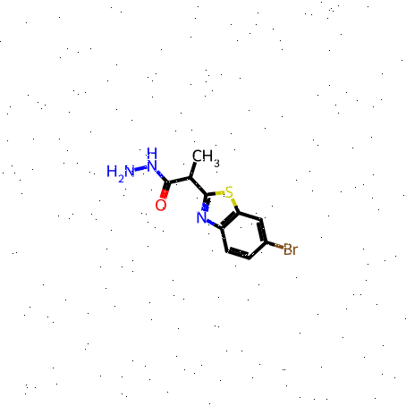 CC(C(=O)NN)c1nc2ccc(Br)cc2s1